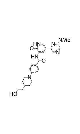 CNc1cncc(-c2c[nH]c(=O)c(NC(=O)c3ccc(N4CCC(CCO)CC4)cc3)c2)n1